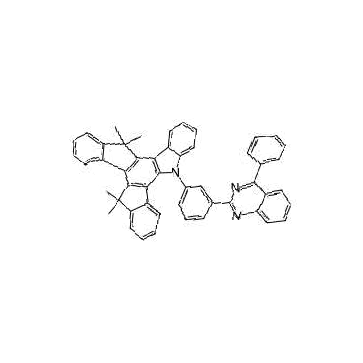 CC1(C)c2ccccc2-c2c1c1c(c3c4ccccc4n(-c4cccc(-c5nc(-c6ccccc6)c6ccccc6n5)c4)c23)C(C)(C)c2ccccc2-1